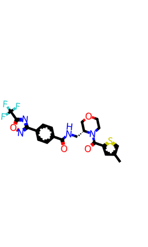 Cc1csc(C(=O)N2CCOC[C@H]2CNC(=O)c2ccc(-c3noc(C(F)(F)F)n3)cc2)c1